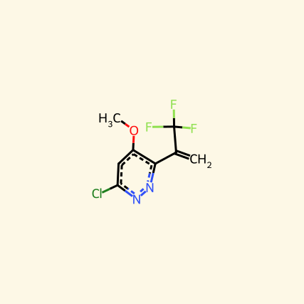 C=C(c1nnc(Cl)cc1OC)C(F)(F)F